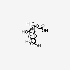 CC(OCC(=O)O)N(CCOC(CC(=O)O)C(=O)O)CC(=O)O